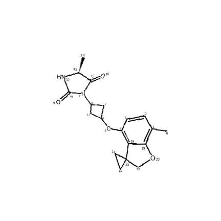 Cc1ccc(OC2CC(N3C(=O)N[C@@H](C)C3=O)C2)c2c1OCC21CC1